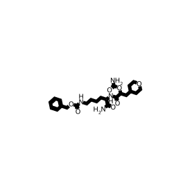 NC(=O)OC(CC1CCOCC1)C(=O)NC(CCCCNC(=O)OCc1ccccc1)C(N)=O